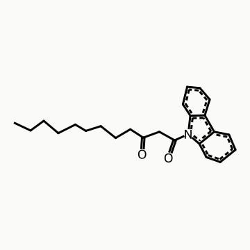 CCCCCCCCCC(=O)CC(=O)n1c2ccccc2c2ccccc21